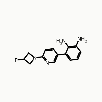 Nc1cccc(-c2ccc(N3CC(F)C3)nc2)c1N